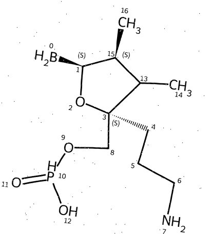 B[C@@H]1O[C@](CCCN)(CO[PH](=O)O)C(C)[C@@H]1C